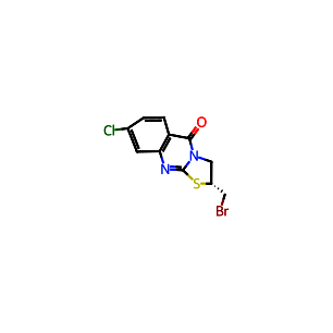 O=c1c2ccc(Cl)cc2nc2n1C[C@H](CBr)S2